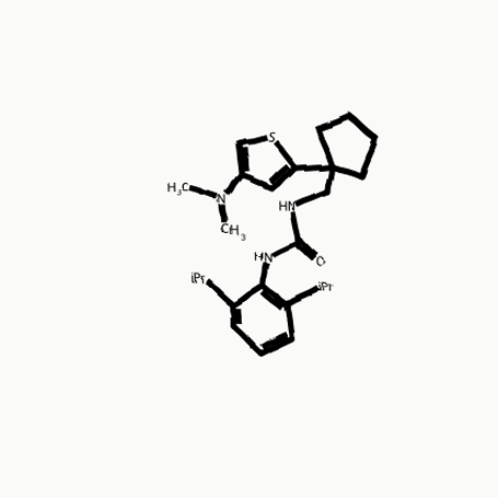 CC(C)c1cccc(C(C)C)c1NC(=O)NCC1(c2cc(N(C)C)cs2)CCCC1